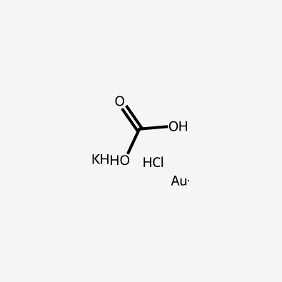 Cl.O=C(O)O.[Au].[KH]